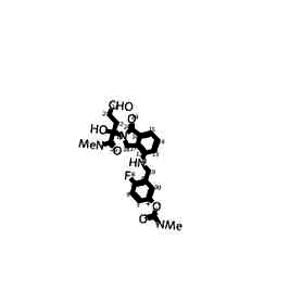 CNC(=O)Oc1ccc(F)c(CNc2cccc3c2CN(C(O)(CCC=O)C(=O)NC)C3=O)c1